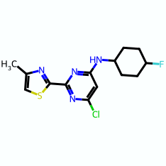 Cc1csc(-c2nc(Cl)cc(NC3CCC(F)CC3)n2)n1